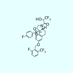 O=C(C(O)C(F)(F)F)N1CC[C@@]2(S(=O)(=O)c3ccc(F)cc3)c3ccc(OCc4c(F)cccc4C(F)(F)F)cc3CC[C@@H]12